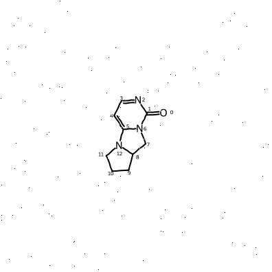 O=c1nccc2n1CC1CCCN21